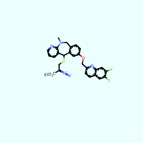 CCOC(=O)C(CSC1c2cc(OCc3ccc4cc(F)c(F)cc4n3)ccc2CN(C)c2ncccc21)=[N+]=[N-]